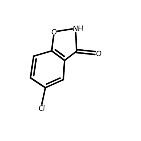 O=c1[nH]oc2ccc(Cl)cc12